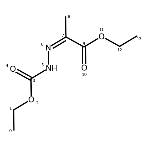 CCOC(=O)NN=C(C)C(=O)OCC